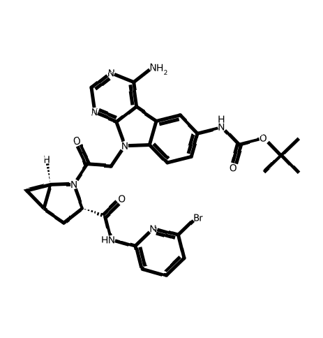 CC(C)(C)OC(=O)Nc1ccc2c(c1)c1c(N)ncnc1n2CC(=O)N1[C@@H]2CC2C[C@H]1C(=O)Nc1cccc(Br)n1